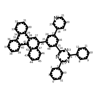 c1ccc(-c2nc(-c3ccccc3)nc(-c3cc(-c4cccnc4)cc(-c4cc5c6ccccc6c6ccccc6c5c5ccccc45)c3)n2)cc1